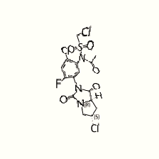 CC(=O)N(c1cc(N2C(=O)[C@H]3C[C@H](Cl)CN3C2=O)c(F)cc1Cl)S(=O)(=O)CCl